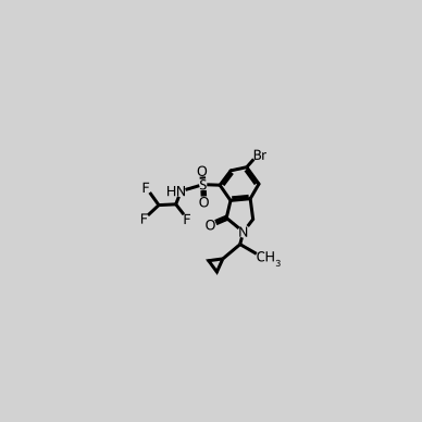 CC(C1CC1)N1Cc2cc(Br)cc(S(=O)(=O)NC(F)C(F)F)c2C1=O